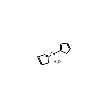 C1=CC[C]([Co][C]2=CC=CC2)=C1.O